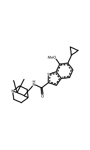 COc1c(C2CC2)ccc2cc(C(=O)NC3C4CCN(CC4)C3(C)C)sc12